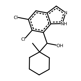 CC1(C(O)c2c(Cl)c(Cl)cc3cn[nH]c23)CCCCC1